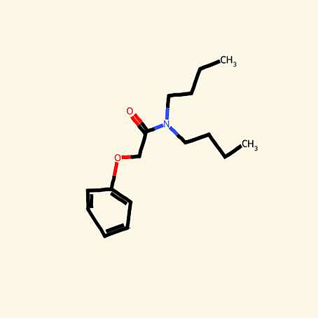 CCCCN(CCCC)C(=O)COc1c[c]ccc1